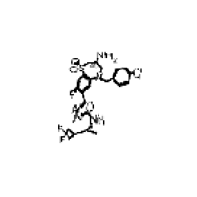 CC(Nc1nnc(-c2cc3c(cc2F)S(=O)(=O)C[C@H](N)CN3Cc2ccc(Cl)cc2)o1)C1CC(F)(F)C1